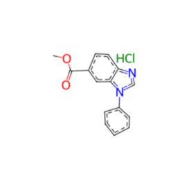 COC(=O)c1ccc2ncn(-c3ccccc3)c2c1.Cl